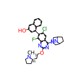 CN1CCC[C@@H]1CCOc1nc(N2CC3CCC(C2)N3)c2cc(Cl)c(-c3cc(O)cc4ccccc34)c(F)c2n1